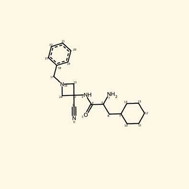 N#CC1(NC(=O)C(N)CC2CCCCC2)CN(Cc2ccccc2)C1